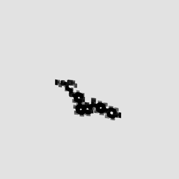 CN(C)CCOc1ccnc(-c2cccc3cnc(Nc4ccc(N5CCNCC5)cc4)nc23)c1